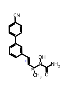 C[C@H](/C=C/c1cccc(-c2ccc(C#N)cc2)c1)N(O)C(N)=O